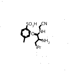 CC(C)CC(N)C(=O)NCC#N.Cc1ccc(S(=O)(=O)O)cc1